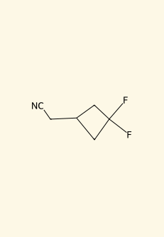 N#CCC1CC(F)(F)C1